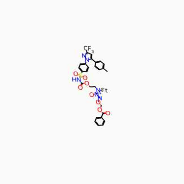 CCN(CCOC(=O)NS(=O)(=O)c1ccc(-n2nc(C(F)(F)F)cc2-c2ccc(C)cc2)cc1)[N+]([O-])=NOCOC(=O)c1ccccc1